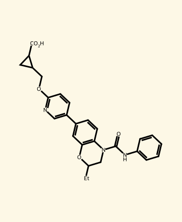 CCC1CN(C(=O)Nc2ccccc2)c2ccc(-c3ccc(OCC4CC4C(=O)O)nc3)cc2O1